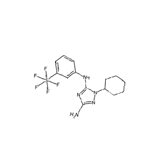 Nc1nc(Nc2cccc(S(F)(F)(F)(F)F)c2)n(C2CCCCC2)n1